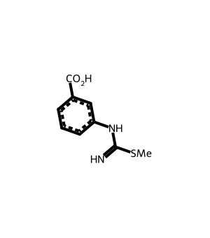 CSC(=N)Nc1cccc(C(=O)O)c1